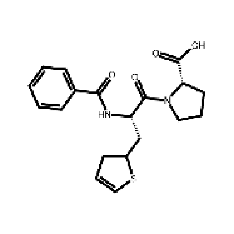 O=C(N[C@@H](CC1CC=CS1)C(=O)N1CCC[C@H]1C(=O)O)c1ccccc1